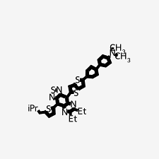 CCc1nc2c(-c3ccc(CC(C)C)s3)c3nsnc3c(-c3cc4sc(-c5ccc(-c6ccc(N(C)C)cc6)cc5)cc4s3)c2nc1CC